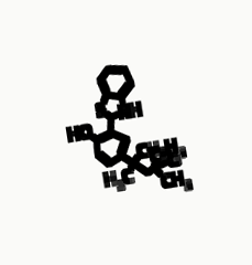 CC(C)(C)CC(C)(C)c1ccc(O)c(C2Nc3ccccc3S2)c1